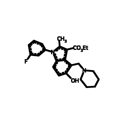 CCOC(=O)c1c(C)n(-c2cccc(F)c2)c2ccc(O)c(CN3CCCCC3)c12